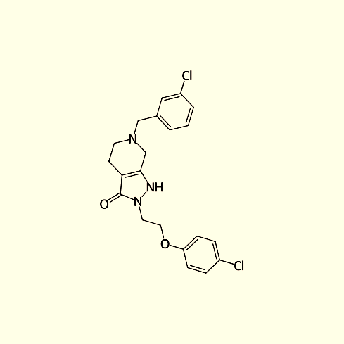 O=c1c2c([nH]n1CCOc1ccc(Cl)cc1)CN(Cc1cccc(Cl)c1)CC2